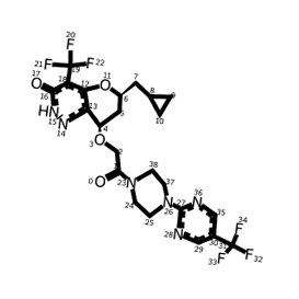 O=C(CO[C@H]1C[C@H](CC2CC2)Oc2c1n[nH]c(=O)c2C(F)(F)F)N1CCN(c2ncc(C(F)(F)F)cn2)CC1